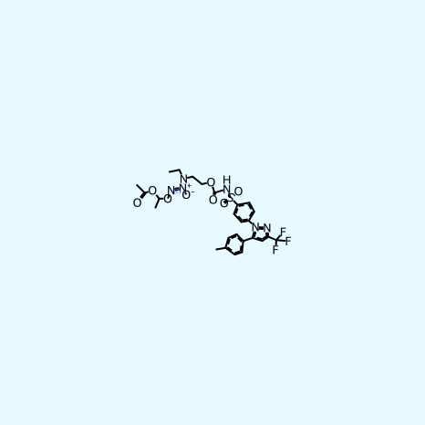 CCN(CCOC(=O)NS(=O)(=O)c1ccc(-n2nc(C(F)(F)F)cc2-c2ccc(C)cc2)cc1)/[N+]([O-])=N/OC(C)OC(C)=O